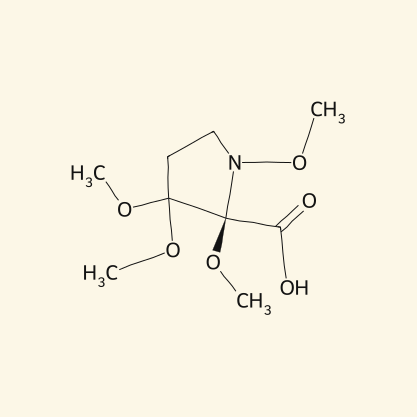 CON1CCC(OC)(OC)[C@@]1(OC)C(=O)O